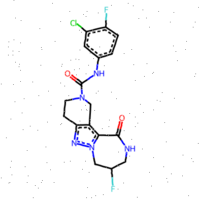 O=C1NCC(F)Cn2nc3c(c21)CN(C(=O)Nc1ccc(F)c(Cl)c1)CC3